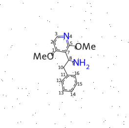 COc1ccnc(OC)c1C(N)Cc1ccccc1